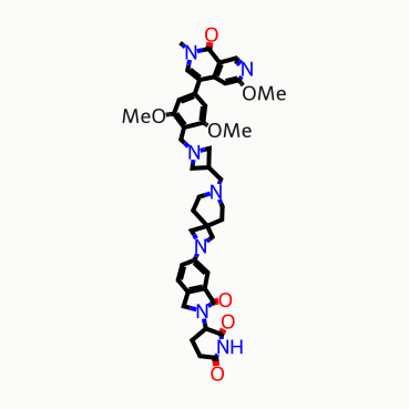 COc1cc2c(-c3cc(OC)c(CN4CC(CN5CCC6(CC5)CN(c5ccc7c(c5)C(=O)N(C5CCC(=O)NC5=O)C7)C6)C4)c(OC)c3)cn(C)c(=O)c2cn1